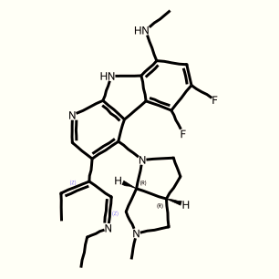 C/C=C(\C=N/CC)c1cnc2[nH]c3c(NC)cc(F)c(F)c3c2c1N1CC[C@@H]2CN(C)C[C@@H]21